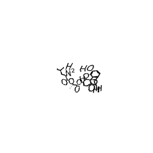 CC(C)C[C@H](N)C(=O)O[C@@H](C)C(=O)OC1=CC[C@@]2(O)[C@@H]3CCCC24c2c(ccc(O)c2O[C@@H]14)C3